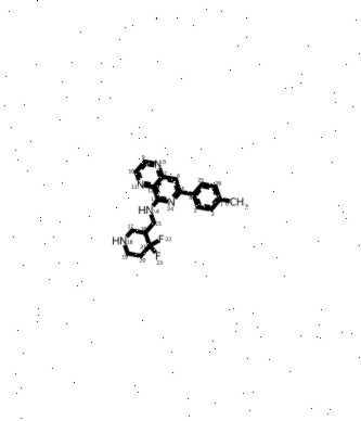 Cc1ccc(-c2cc3nccnc3c(NCC3CNCCC3(F)F)n2)cc1